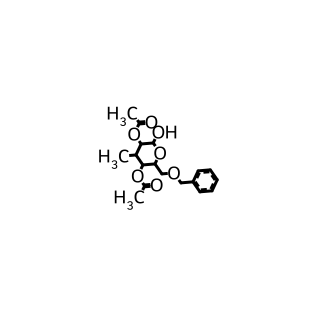 CC(=O)OC1C(O)OC(COCc2ccccc2)C(OC(C)=O)C1C